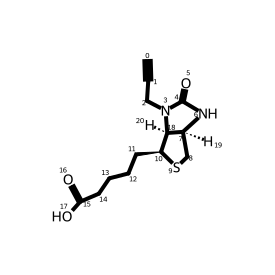 C#CCN1C(=O)N[C@H]2CS[C@@H](CCCCC(=O)O)[C@H]21